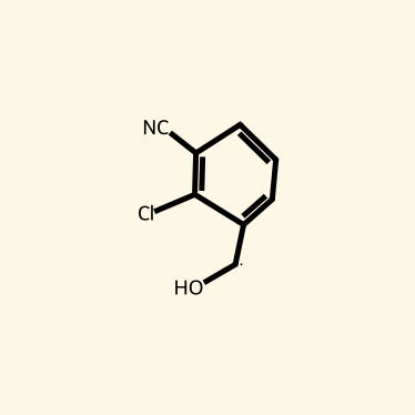 N#Cc1cccc([CH]O)c1Cl